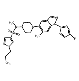 CCCn1cc(S(=O)(=O)N(C)C2CCN(c3cc4cnn(-c5ccc(F)cc5)c4cc3C)CC2)cn1